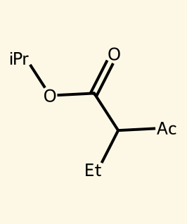 CCC(C(C)=O)C(=O)OC(C)C